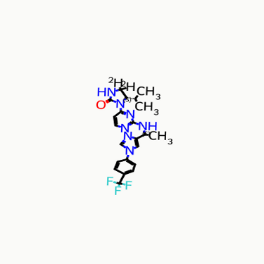 [2H]C1([2H])NC(=O)N(c2ccnc(N[C@@H](C)c3cn(-c4ccc(C(F)(F)F)cc4)cn3)n2)[C@H]1C(C)C